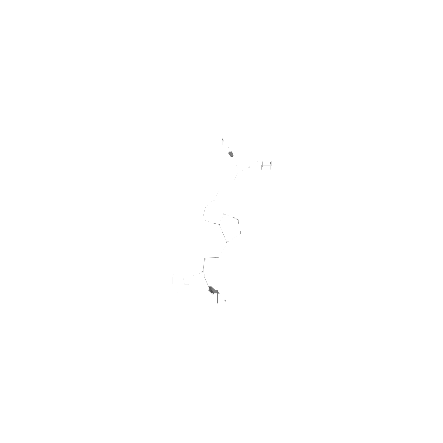 CC(C#N)CCC1CCC2C(CCC(C)C#N)CCC12